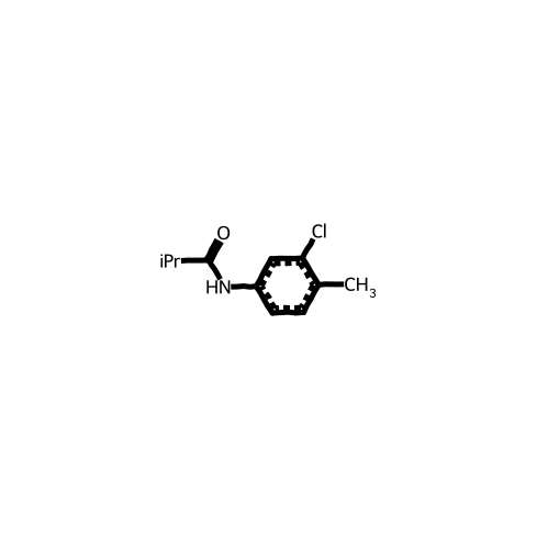 Cc1ccc(NC(=O)C(C)C)cc1Cl